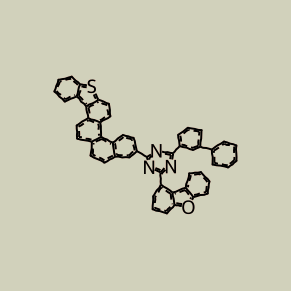 c1ccc(-c2cccc(-c3nc(-c4ccc5c(ccc6ccc7c(ccc8sc9ccccc9c87)c65)c4)nc(-c4cccc5oc6ccccc6c45)n3)c2)cc1